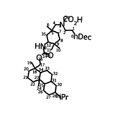 CCCCCCCCCCCCN(CC1(C)CCC(C)(C)C(NC(=O)OCC2(C)CCCC3(C)C4CCC(C(C)C)CC4CCC23)C1)C(=O)O